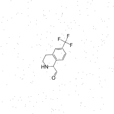 O=CC1NCCc2cc(C(F)(F)F)ccc21